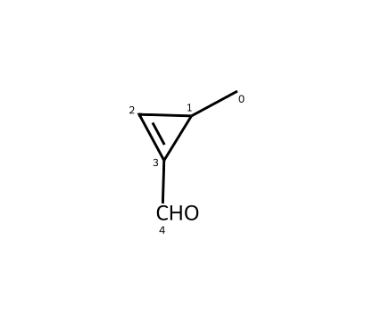 CC1C=C1C=O